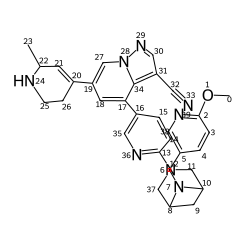 COc1ccc(CN2C3CC2CN(c2ccc(-c4cc(C5=CC(C)NCC5)cn5ncc(C#N)c45)cn2)C3)cn1